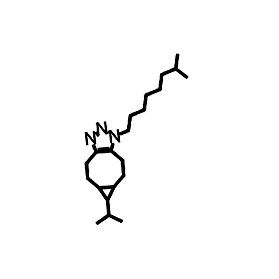 CC(C)CCCCCCn1nnc2c1CCC1C(CC2)C1C(C)C